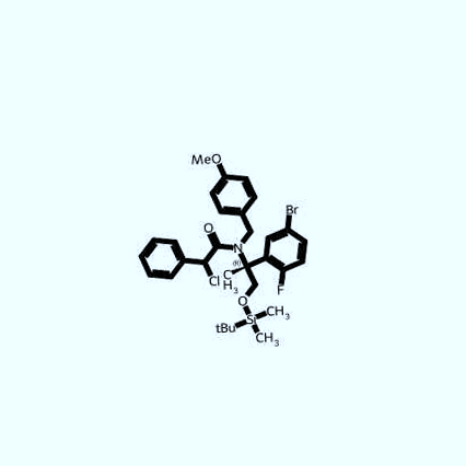 COc1ccc(CN(C(=O)C(Cl)c2ccccc2)[C@@](C)(CO[Si](C)(C)C(C)(C)C)c2cc(Br)ccc2F)cc1